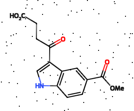 COC(=O)c1ccc2[nH]cc(C(=O)CCC(=O)O)c2c1